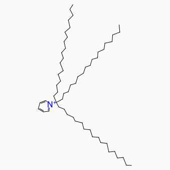 CCCCCCCCCCCCCCCCCCC(CCCCCCCCCCCCCCCCCC)(CCCCCCCCCCCCCCCCCC)[n+]1ccccc1